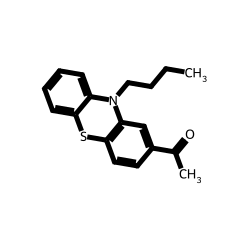 CCCCN1c2ccccc2Sc2ccc(C(C)=O)cc21